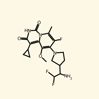 COc1c(N2CCC(C(N)C(F)F)C2)c(F)c(C)n2c(=O)[nH]c(=O)c(C3CC3)c12